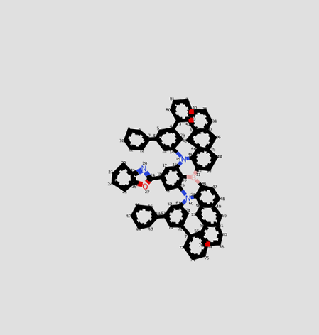 c1ccc(-c2cc(-c3ccccc3)cc(N3c4cc(-c5nc6ccccc6o5)cc5c4B(c4ccc6cc7ccccc7cc6c43)c3ccc4cc6ccccc6cc4c3N5c3cc(-c4ccccc4)cc(-c4ccccc4)c3)c2)cc1